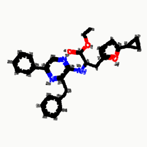 CCOC(=O)C(Cc1ccc(C2CC2)o1)Nc1ncc(-c2ccccc2)nc1Cc1ccccc1